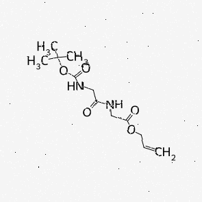 C=CCOC(=O)CNC(=O)CNC(=O)OC(C)(C)C